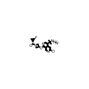 CC(C)(N=[N+]=[N-])c1cnc(OC2CN(C(=O)[C@@H]3C[C@@H]3F)C2)c2cnc(Cl)cc12